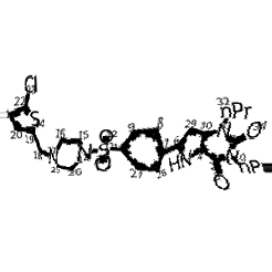 CCCn1c(=O)c2[nH]c(-c3ccc(S(=O)(=O)N4CCN(Cc5ccc(Cl)s5)CC4)cc3)cc2n(CCC)c1=O